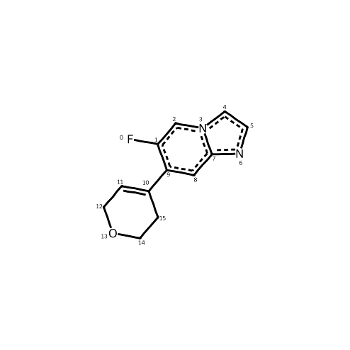 Fc1cn2ccnc2cc1C1=CCOCC1